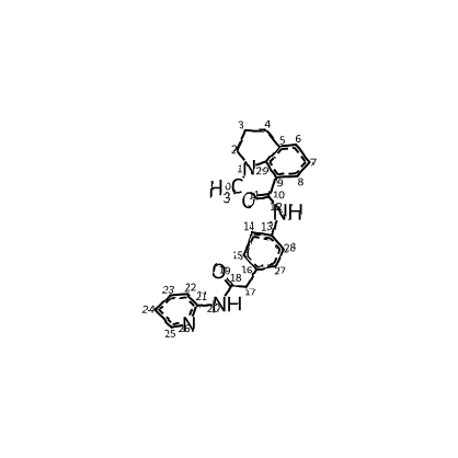 CN1CCCc2cccc(C(=O)Nc3ccc(CC(=O)Nc4ccccn4)cc3)c21